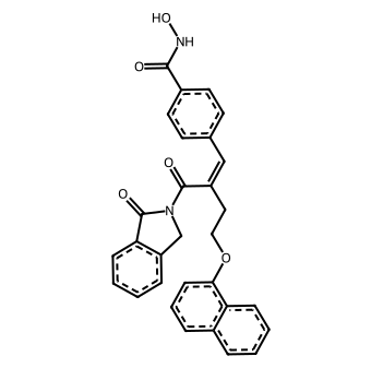 O=C(NO)c1ccc(C=C(CCOc2cccc3ccccc23)C(=O)N2Cc3ccccc3C2=O)cc1